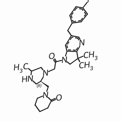 CC1CN(CC(=O)N2CC(C)(C)c3ncc(Cc4ccc(F)cc4)cc32)[C@@H](CN2CCCCC2=O)CN1